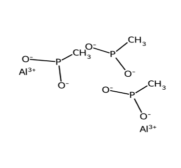 CP([O-])[O-].CP([O-])[O-].CP([O-])[O-].[Al+3].[Al+3]